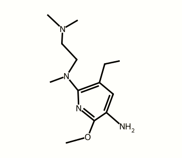 CCc1cc(N)c(OC)nc1N(C)CCN(C)C